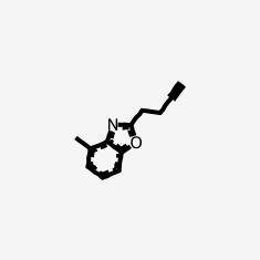 C#CCCc1nc2c(C)cccc2o1